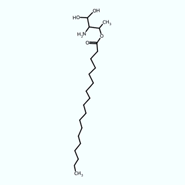 CCCCCCCCCCCCCCCCCC(=O)OC(C)C(N)C(O)O